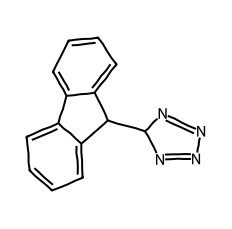 c1ccc2c(c1)-c1ccccc1C2C1N=NN=N1